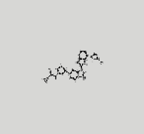 CC(=O)c1ccc(-c2cccc3[nH]c(-c4n[nH]c5ncc(-c6cncc(NC(=O)C7CC7)c6)cc45)nc23)s1